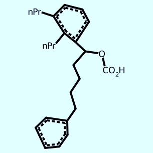 CCCc1cccc(C(CCCCc2ccccc2)OC(=O)O)c1CCC